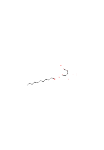 CCCCCCCCCCC(=O)OC[C@H]1OC(OC)[C@H](O)[C@@H](O)[C@@H]1O